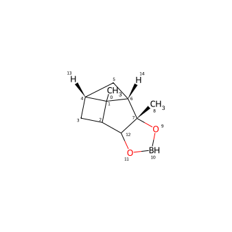 CC12C3C[C@@H]1C[C@@H]2[C@]1(C)OBOC31